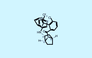 O=C(c1cccc(Cl)c1-c1ncccn1)N1[C@@H]2CC[C@H]1[C@H](Nc1cnc(C(F)(F)F)cn1)C2